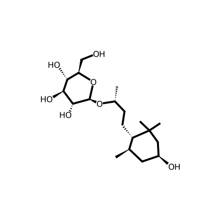 C[C@H](CC[C@H]1[C@H](C)C[C@H](O)CC1(C)C)O[C@@H]1O[C@H](CO)[C@@H](O)[C@H](O)[C@H]1O